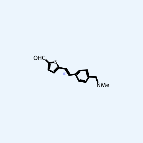 CNCc1ccc(/C=C/c2ccc(C=O)s2)cc1